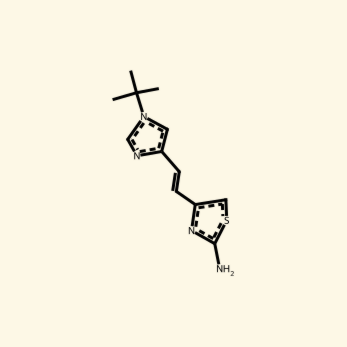 CC(C)(C)n1cnc(C=Cc2csc(N)n2)c1